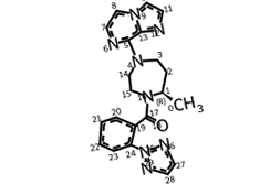 C[C@@H]1CCN(c2nccn3ccnc23)CCN1C(=O)c1ccccc1-n1nccn1